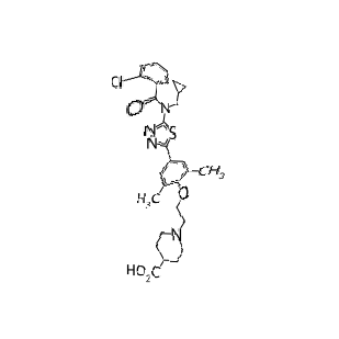 Cc1cc(-c2nnc(N(CC3CC3)C(=O)c3ccccc3Cl)s2)cc(C)c1OCCN1CCC(C(=O)O)CC1